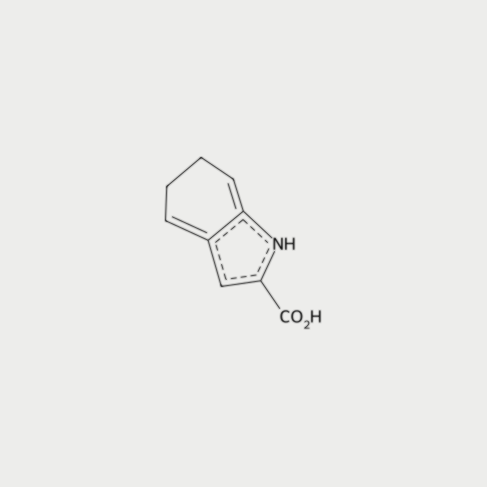 O=C(O)c1cc2c([nH]1)=CCCC=2